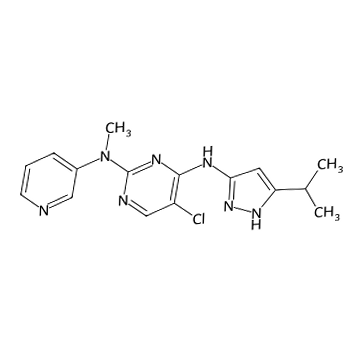 CC(C)c1cc(Nc2nc(N(C)c3cccnc3)ncc2Cl)n[nH]1